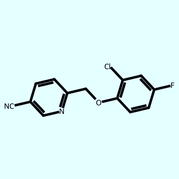 N#Cc1ccc(COc2ccc(F)cc2Cl)nc1